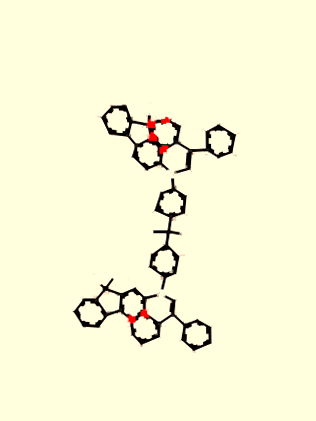 CC(C)(c1ccc(N(C=C(c2ccccc2)c2ccccc2)c2ccc3c(c2)C(C)(C)c2ccccc2-3)cc1)c1ccc(N(C=C(c2ccccc2)c2ccccc2)c2ccc3c(c2)C(C)(C)c2ccccc2-3)cc1